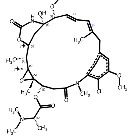 COc1cc2cc(c1Cl)N(C)C(=O)C[C@H](OC(=O)[C@H](C)N(C)C)[C@]1(C)O[C@H]1[C@H](C)[C@@H]1C[C@@](O)(NC(=O)O1)[C@H](OC)/C=C/C=C(\C)C2